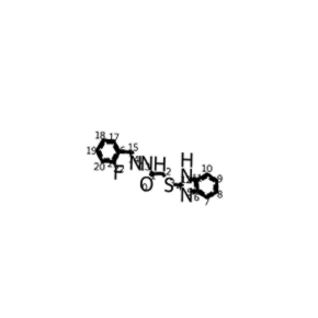 O=C(CSc1nc2ccccc2[nH]1)N/N=C/c1ccccc1F